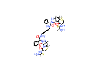 CN[C@@H](C)C(=S)N[C@H]1CCS[C@H]2CC(C)(C)[C@@H](C(=O)N[C@H](C(=O)NCC#CC#CCNC(=O)[C@@H](NC(=O)[C@H]3N4C(=O)[C@@H](NC(=S)[C@H](C)NC)CCS[C@H]4CC3(C)C)c3ccccc3)c3ccccc3)C2C1=O